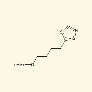 [CH2]CCCCCOCCCCc1cncs1